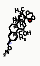 C[C@@H]1C[C@H]2[C@@H]3CCC4=C/C(=C/ON)C=C[C@]4(C)C3[C@@H](O)C[C@]2(C)[C@]12OCOC21COCO1